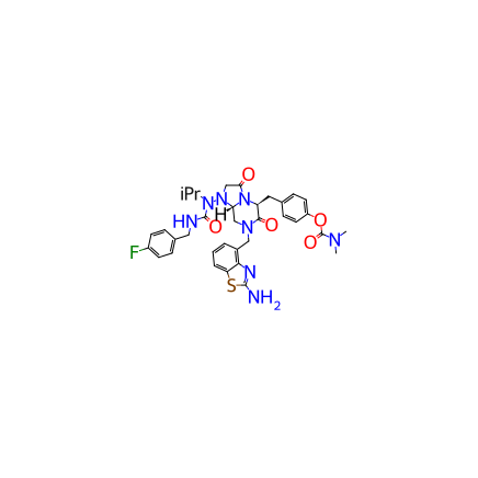 CC(C)N(C(=O)NCc1ccc(F)cc1)N1CC(=O)N2[C@@H](Cc3ccc(OC(=O)N(C)C)cc3)C(=O)N(Cc3cccc4sc(N)nc34)C[C@@H]21